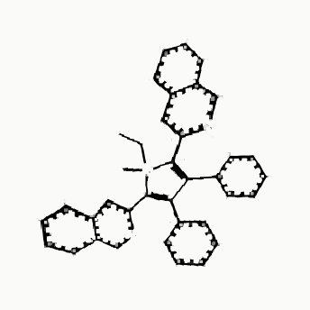 CC[Si]1(C)C(c2cc3ccccc3cn2)=C(c2ccccc2)C(c2ccccc2)=C1c1cc2ccccc2cn1